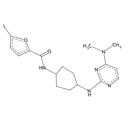 CN(C)c1ccnc(NC2CCC(NC(=O)c3ccc(I)o3)CC2)n1